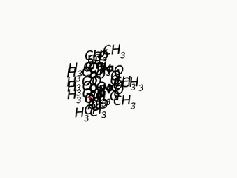 CCOC(=O)c1ccn(P(Oc2cc(C(C)(C)C)cc3c2Oc2c(OP(n4cc(C(=O)OCC)c(C(=O)OCC)c4)n4cc(C(=O)OCC)c(C(=O)OCC)c4)cc(C(C)(C)C)cc2C3(C)C)n2cc(C(=O)OCC)c(C(=O)OCC)c2)c1